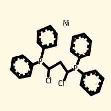 ClC(CC(Cl)P(c1ccccc1)c1ccccc1)P(c1ccccc1)c1ccccc1.[Ni]